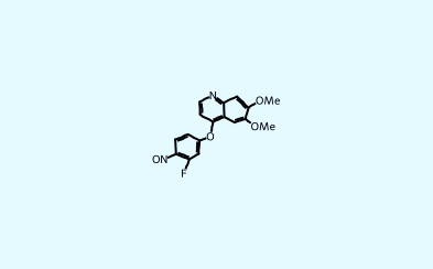 COc1cc2nccc(Oc3ccc(N=O)c(F)c3)c2cc1OC